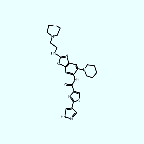 O=C(Nc1cc2oc(NCCN3CCOCC3)nc2cc1N1CCCCC1)c1csc(-c2cn[nH]c2)n1